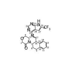 O=C1COCCN1[C@H]1CCc2ccccc2C1/C=N/c1ncnc2[nH]c(C(F)(F)F)cc12